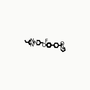 CCc1cnc(N2CCC(COc3ccc(C4=CCC(C(=O)N5CCCC5)CC4)cc3F)CC2)nc1